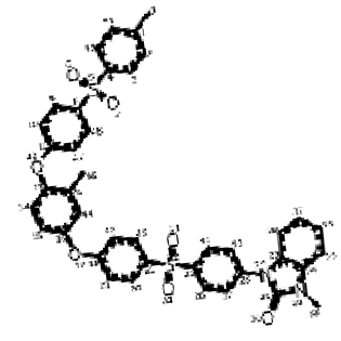 Cc1ccc(S(=O)(=O)c2ccc(Oc3ccc(Oc4ccc(S(=O)(=O)c5ccc(-n6c(=O)n(C)c7ccccc76)cc5)cc4)cc3C)cc2)cc1